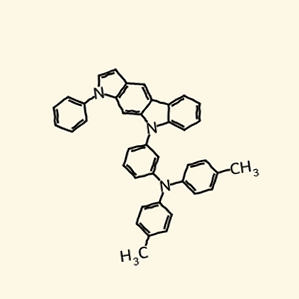 Cc1ccc(N(c2ccc(C)cc2)c2cccc(-n3c4ccccc4c4cc5ccn(-c6ccccc6)c5cc43)c2)cc1